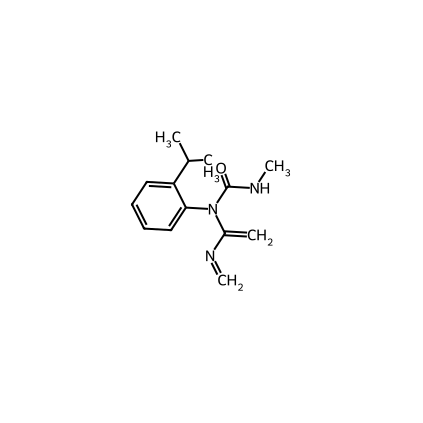 C=NC(=C)N(C(=O)NC)c1ccccc1C(C)C